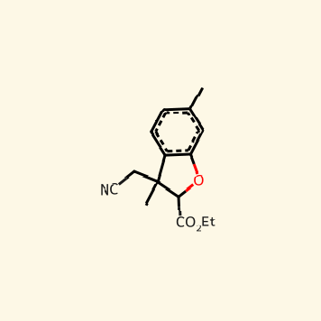 CCOC(=O)C1Oc2cc(C)ccc2C1(C)CC#N